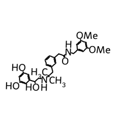 COc1cc(CNC(=O)Cc2cccc(CC(C)(C)NCC(O)c3cc(O)cc(O)c3)c2)cc(OC)c1